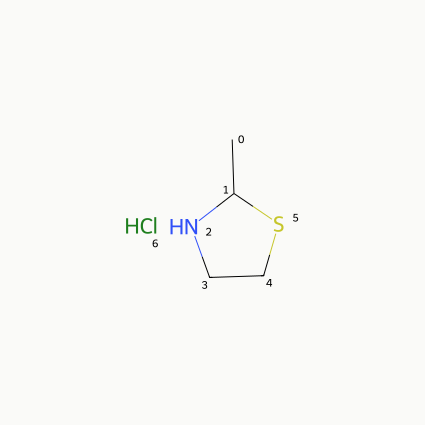 CC1NCCS1.Cl